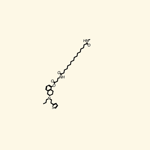 CCCN(CCc1cccs1)[C@H]1CCc2c(cccc2OC(=O)CCNC(=O)CCCCCCCCCCCCCCC(=O)NC)C1